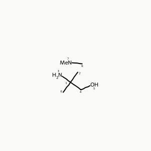 CC(C)(N)CO.CNC